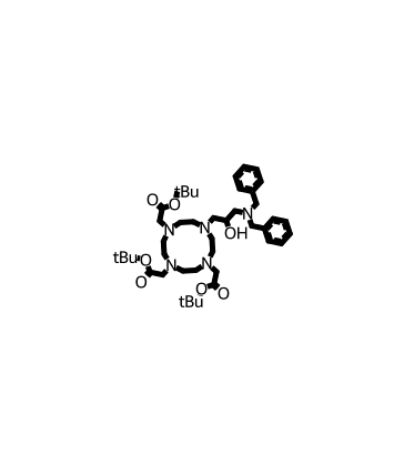 CC(C)(C)OC(=O)CN1CCN(CC(=O)OC(C)(C)C)CCN(CC(O)CN(Cc2ccccc2)Cc2ccccc2)CCN(CC(=O)OC(C)(C)C)CC1